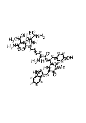 CC[C@H](N)C(=O)N[C@@H](CSSC[C@H](N)C(=O)N[C@@H](Cc1ccc(O)cc1)C(=O)N[C@H](Cc1c[nH]c2ccccc12)C(=O)NC)C(=O)N[C@H](C(N)=O)[C@@H](C)O